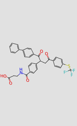 O=C(O)CCNC(=O)c1ccc(C(CC(=O)c2ccc(SC(F)(F)F)cc2)C(=O)c2ccc(-c3ccccc3)cc2)cc1